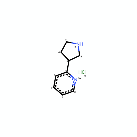 Cl.c1ccc(C2CCNC2)nc1